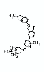 Cc1nc(OC2CCC(C(C)(C)O)CC2)ccc1-c1ccc(F)c(COc2ccc3c(c2)CC(C)C3)c1